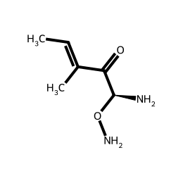 C/C=C(\C)C(=O)[C@@H](N)ON